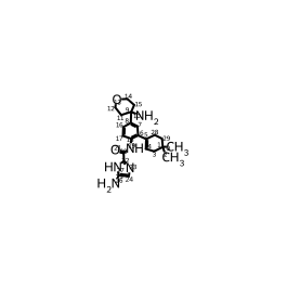 CC1(C)CC=C(c2cc(C3(N)CCOCC3)ccc2NC(=O)c2ncc(N)[nH]2)CC1